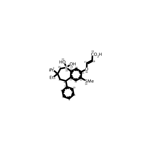 CCC1(C(C)C)CC(c2ccccc2)c2cc(SC)c(O/C=C/C(=O)O)cc2S(O)(O)C1